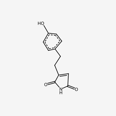 O=C1C=C(CCc2ccc(O)cc2)C(=O)N1